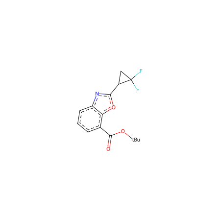 CC(C)(C)OC(=O)c1cccc2nc(C3CC3(F)F)oc12